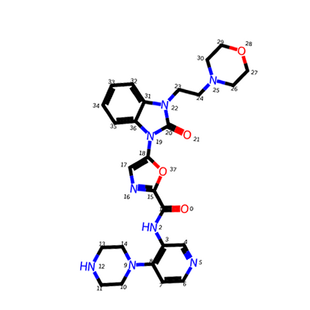 O=C(Nc1cnccc1N1CCNCC1)c1ncc(-n2c(=O)n(CCN3CCOCC3)c3ccccc32)o1